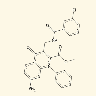 COC(=O)c1c(CNC(=O)c2cccc(Cl)c2)c(=O)c2ccc(P)cc2n1-c1ccccc1